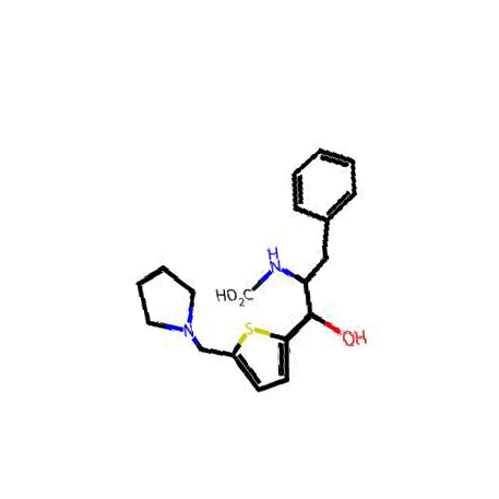 O=C(O)NC(Cc1ccccc1)C(O)c1ccc(CN2CCCC2)s1